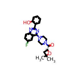 CC1(C)C[C@H](C(=O)N2CCN(c3nc(-c4ccccc4O)nc4ccc(F)cc34)CC2)O1